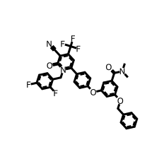 CN(C)C(=O)c1cc(OCc2ccccc2)cc(Oc2ccc(-c3cc(C(F)(F)F)c(C#N)c(=O)n3Cc3ccc(F)cc3F)cc2)c1